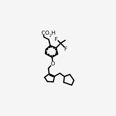 CC(F)(F)c1cc(OCC2=C(CC3CCCC3)CCC2)ccc1CCC(=O)O